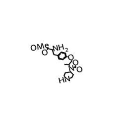 COC(=O)C(N)Cc1ccc(OC2OC(=O)N(C3CCNCC3)C2C)cc1